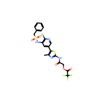 Cc1nc(NC(=O)COC(=O)C(F)(F)F)sc1-c1cnc(Cl)c(NS(=O)(=O)Cc2ccccc2)c1